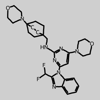 FC(F)c1nc2ccccc2n1-c1cc(N2CCOCC2)nc(NCC23CCC(N4CCOCC4)(CC2)CC3)n1